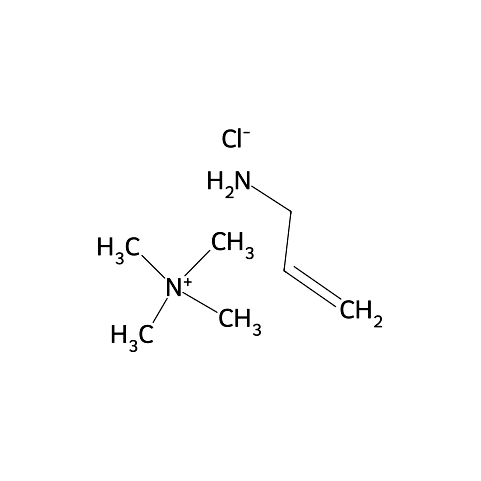 C=CCN.C[N+](C)(C)C.[Cl-]